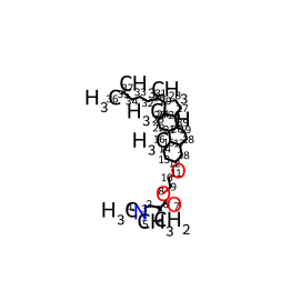 C=C(CN(C)C)C(=O)OCCO[C@H]1CC[C@@]2(C)C(CC[C@@H]3C2CC[C@@]2(C)C3CC[C@@H]2[C@H](C)CCCC(C)C)C1